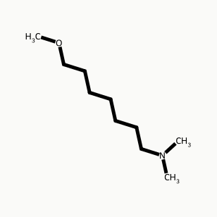 COCCCCCCCN(C)C